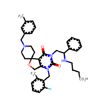 O=C(O)CCCNC(Cn1c(=O)c2c(n(Cc3c(F)cccc3C(F)(F)F)c1=O)COC21CCN(Cc2cccc(C(F)(F)F)c2)CC1)c1ccccc1